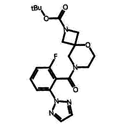 CC(C)(C)OC(=O)N1CC2(C1)CN(C(=O)c1c(F)cccc1-n1nccn1)CCO2